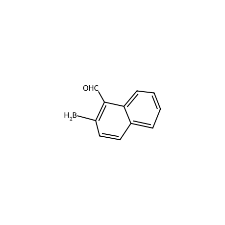 Bc1ccc2ccccc2c1C=O